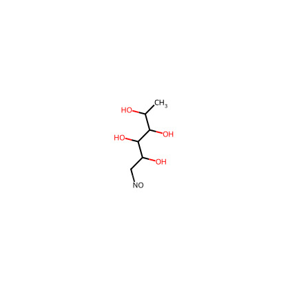 CC(O)C(O)C(O)C(O)CN=O